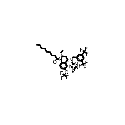 CCCCCCCCC(=O)N1c2ccc(OC(F)(F)F)cc2[C@@H](N(Cc2cc(C(F)(F)F)cc(C(F)(F)F)c2)c2nnn(C)n2)C[C@H]1CC